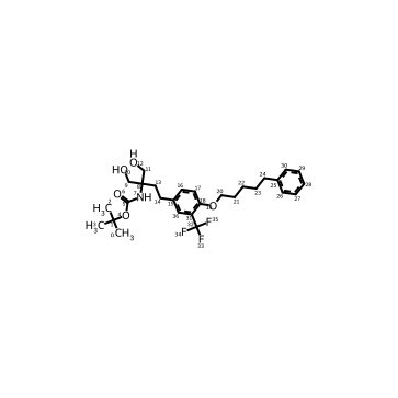 CC(C)(C)OC(=O)NC(CO)(CO)CCc1ccc(OCCCCCc2ccccc2)c(C(F)(F)F)c1